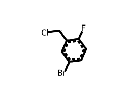 Fc1ccc(Br)cc1[CH]Cl